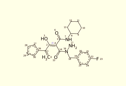 C=C(/C(O)=C(/C(=O)NC1CCCCC1)C(=O)N(N)Cc1ccc(F)cc1)c1ccsc1